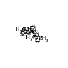 Cc1ccccc1-c1ccc2cc3c4ccccc4n(-c4ccc5c(c4)C(C)(C)c4ccccc4-5)c3cc2c1C